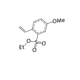 C=Cc1ccc(OC)cc1S(=O)(=O)OCC